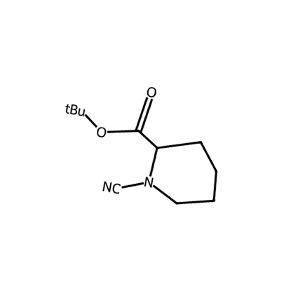 CC(C)(C)OC(=O)C1CCCCN1C#N